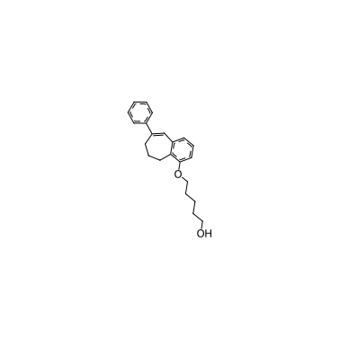 OCCCCCOc1cccc2c1CCCC(c1ccccc1)=C2